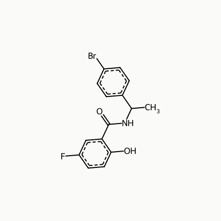 CC(NC(=O)c1cc(F)ccc1O)c1ccc(Br)cc1